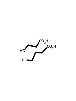 O=C(O)CCCO.O=C(O)CCO